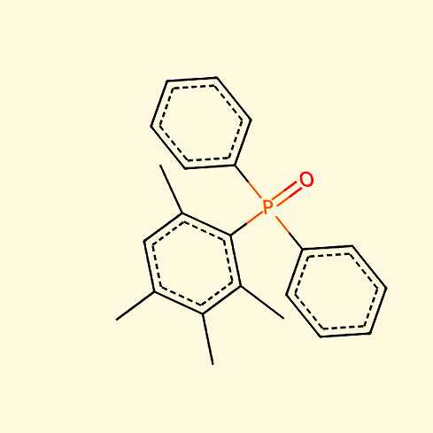 Cc1cc(C)c(P(=O)(c2ccccc2)c2ccccc2)c(C)c1C